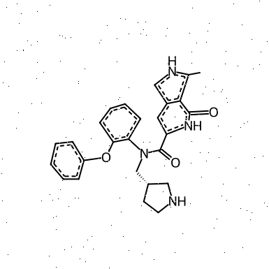 Cc1[nH]cc2cc(C(=O)N(C[C@H]3CCNC3)c3ccccc3Oc3ccccc3)[nH]c(=O)c12